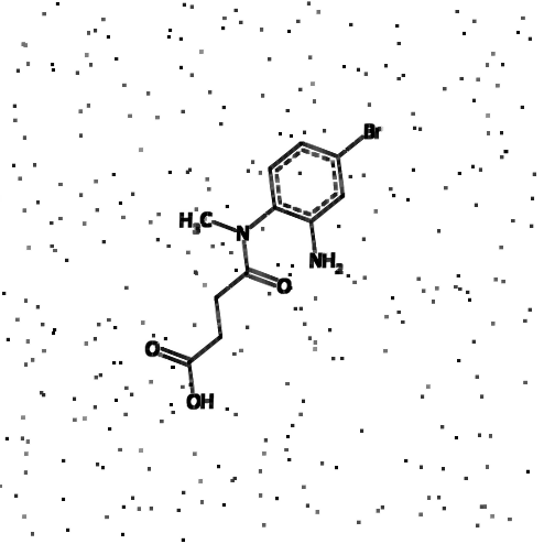 CN(C(=O)CCC(=O)O)c1ccc(Br)cc1N